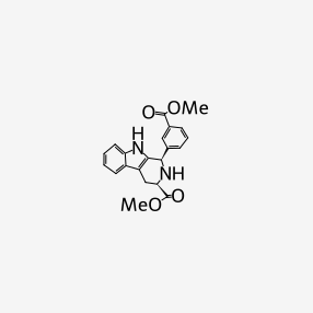 COC(=O)c1cccc([C@H]2N[C@@H](C(=O)OC)Cc3c2[nH]c2ccccc32)c1